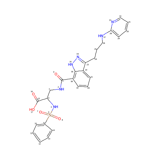 O=C(NCC(NS(=O)(=O)c1ccccc1)C(=O)O)c1cccc2c(CCCNc3ccccn3)n[nH]c12